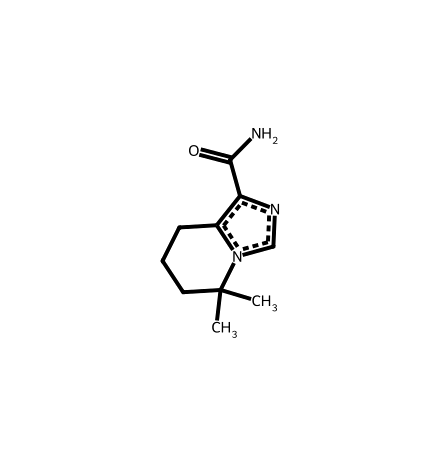 CC1(C)CCCc2c(C(N)=O)ncn21